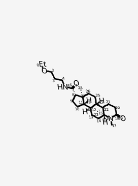 CCOCCCNC(=O)[C@H]1CC[C@H]2[C@@H]3CC[C@H]4N(C)C(=O)CC[C@]4(C)[C@H]3CC[C@]12C